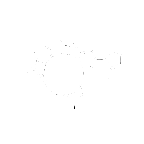 C[C@@H]1CC2CN1CCn1[nH]c3c(cccc3c1=O)-c1nc3c(cc(N4CCCC4=O)cc3[nH]c1=O)O2